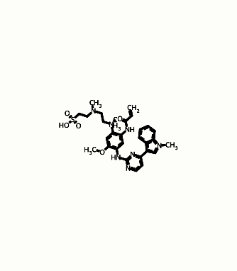 C=CC(=O)Nc1cc(Nc2nccc(-c3cn(C)c4ccccc34)n2)c(OC)cc1N(C)CCN(C)CCS(=O)(=O)O